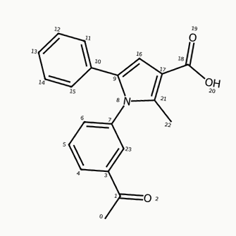 CC(=O)c1cccc(-n2c(-c3ccccc3)cc(C(=O)O)c2C)c1